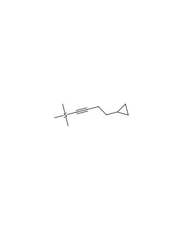 CS(C)(C)C#CCCC1CC1